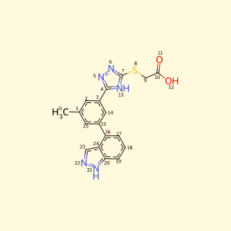 Cc1cc(-c2nnc(SCC(=O)O)[nH]2)cc(-c2cccc3[nH]ncc23)c1